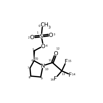 CS(=O)(=O)OC[C@@H]1CCCN1C(=O)C(F)(F)F